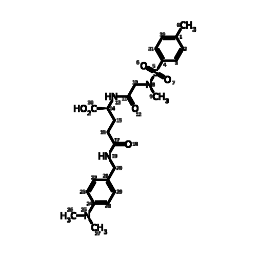 Cc1ccc(S(=O)(=O)N(C)CC(=O)N[C@@H](CCC(=O)NCc2ccc(N(C)C)cc2)C(=O)O)cc1